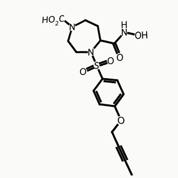 CC#CCOc1ccc(S(=O)(=O)N2CCN(C(=O)O)CCC2C(=O)NO)cc1